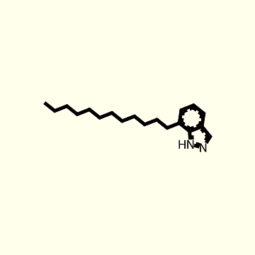 CCCCCCCCCCCCc1cccc2cn[nH]c12